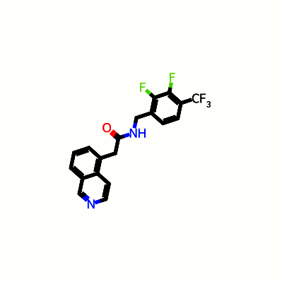 O=C(Cc1cccc2cnccc12)NCc1ccc(C(F)(F)F)c(F)c1F